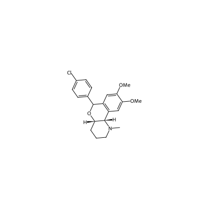 COc1cc2c(cc1OC)[C@H]1[C@H](CCCN1C)OC2c1ccc(Cl)cc1